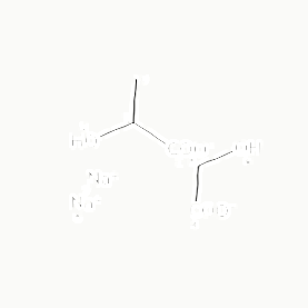 CC(O)C(=O)[O-].O=C([O-])CO.[Na+].[Na+]